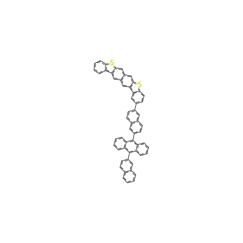 c1ccc2cc(-c3c4ccccc4c(-c4ccc5cc(-c6ccc7sc8cc9cc%10sc%11ccccc%11c%10cc9cc8c7c6)ccc5c4)c4ccccc34)ccc2c1